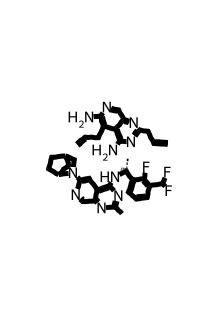 C=CCc1nc(N)c2c(CC=C)c(N)ncc2n1.Cc1nc(N[C@H](C)c2cccc(C(F)F)c2F)c2cc(N3CC4CCC3C4)ncc2n1